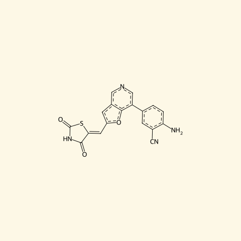 N#Cc1cc(-c2cncc3cc(/C=C4\SC(=O)NC4=O)oc23)ccc1N